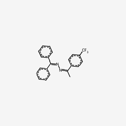 CC(=NN=C(c1ccccc1)c1ccccc1)c1ccc(C(F)(F)F)cc1